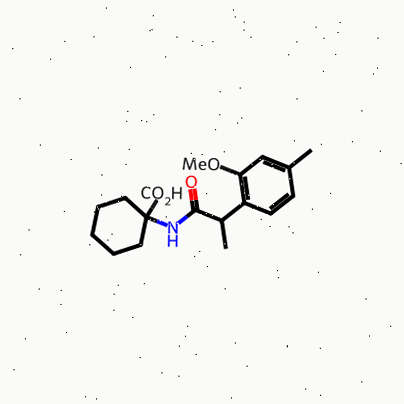 COc1cc(C)ccc1C(C)C(=O)NC1(C(=O)O)CCCCC1